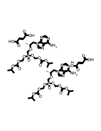 CC(C)OC(=O)OCOP(=O)(CO[C@H](C)Cn1cnc2c(N)ncnc21)OCOC(=O)OC(C)C.CC(C)OC(=O)OCOP(=O)(CO[C@H](C)Cn1cnc2c(N)ncnc21)OCOC(=O)OC(C)C.O=C(O)/C=C/C(=O)O.O=C(O)/C=C/C(=O)O